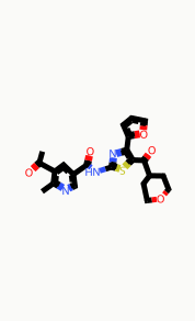 CC(=O)c1cc(C(=O)Nc2nc(-c3ccco3)c(C(=O)C3CCOCC3)s2)cnc1C